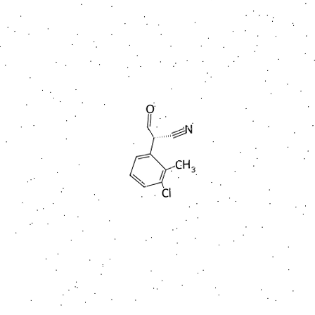 Cc1c(Cl)cccc1[C@@H](C#N)C=O